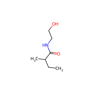 CCC(C)C(=O)NCCO